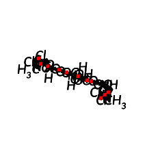 CN1Cc2c(Cl)cc(Cl)cc2C(c2cccc(S(=O)(=O)NCCOCCOCCOCCNC(=O)[C@@H](O)[C@H](O)C(=O)NCCOCCOCCOCCNS(=O)(=O)c3cccc(C4CN(C)Cc5c(Cl)cc(Cl)cc54)c3)c2)C1